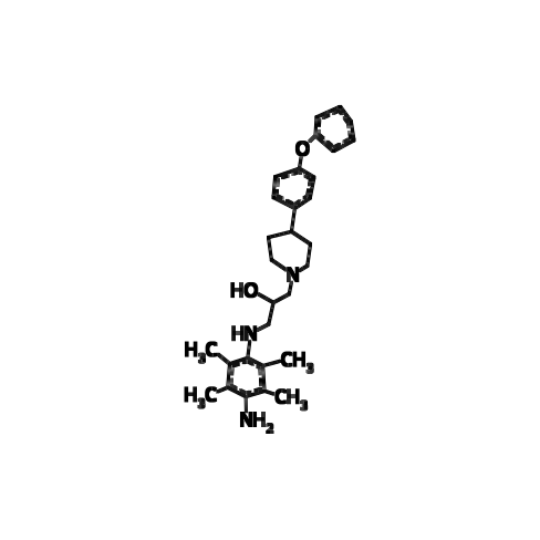 Cc1c(C)c(NCC(O)CN2CCC(c3ccc(Oc4ccccc4)cc3)CC2)c(C)c(C)c1N